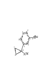 CC(C)(C)c1cc(C2(C#N)CC2)ncn1